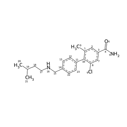 Cc1cc(C(N)=O)cc(Cl)c1-c1ccc(CNCCC(C)C)cc1